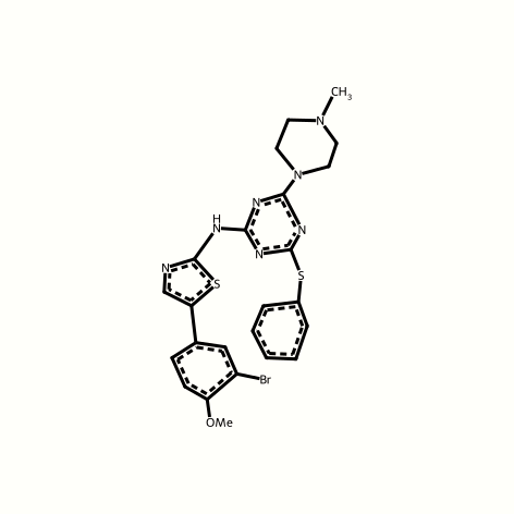 COc1ccc(-c2cnc(Nc3nc(Sc4ccccc4)nc(N4CCN(C)CC4)n3)s2)cc1Br